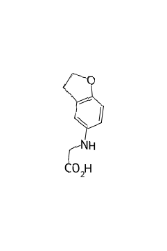 O=C(O)CNc1ccc2c(c1)CCO2